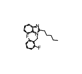 CCCCCc1nc2ccccc2n1Cc1c(F)cccc1F